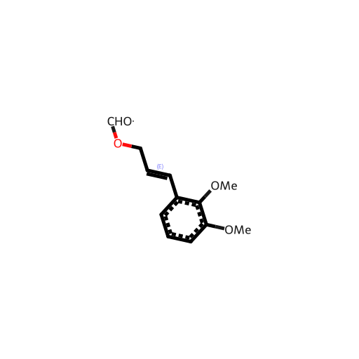 COc1cccc(/C=C/CO[C]=O)c1OC